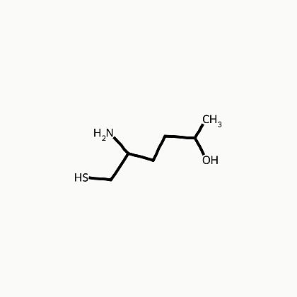 CC(O)CCC(N)CS